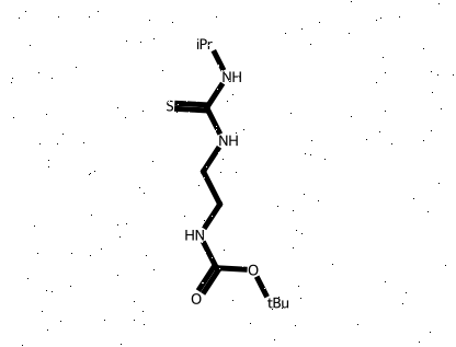 CC(C)NC(=S)NCCNC(=O)OC(C)(C)C